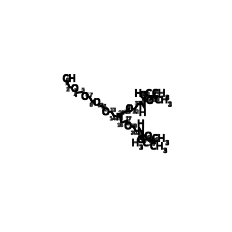 C#CCOCCOCCOCCOCCN(CCOCCNC(=O)OC(C)(C)C)CCOCCNC(=O)OC(C)(C)C